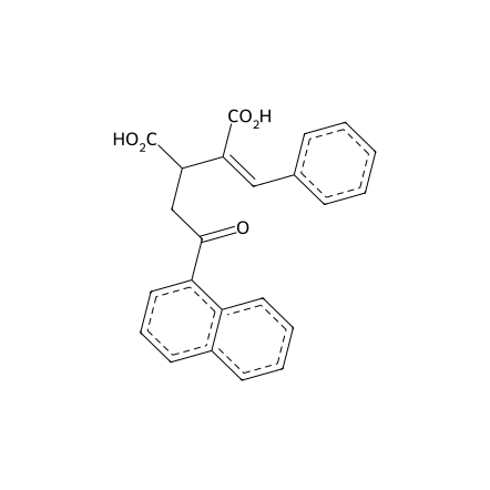 O=C(O)C(=Cc1ccccc1)C(CC(=O)c1cccc2ccccc12)C(=O)O